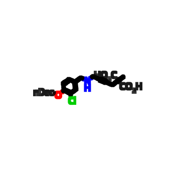 CCCCCCCCCCOc1ccc(CNCC#CCC(C)(C(=O)O)C(=O)O)cc1Cl